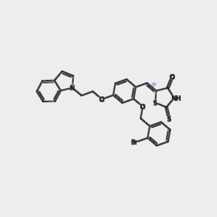 O=C1NC(=S)S/C1=C\c1ccc(OCCn2ccc3ccccc32)cc1OCc1ccccc1Br